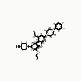 CCOc1nc(N2CCNCC2)nc2c1sc1nc(N3CCN(c4ccccc4)CC3)cc(CC)c12